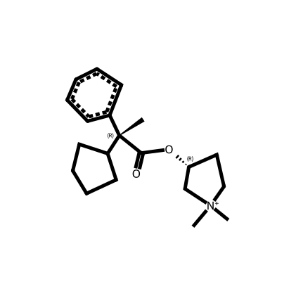 C[C@](C(=O)O[C@@H]1CC[N+](C)(C)C1)(c1ccccc1)C1CCCC1